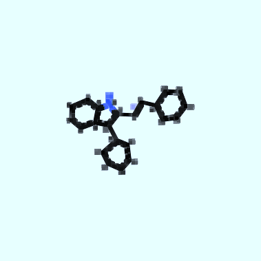 C(=C\c1[nH]c2ccccc2c1-c1ccccc1)/c1ccccc1